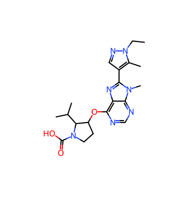 CCn1ncc(-c2nc3c(OC4CCN(C(=O)O)C4C(C)C)ncnc3n2C)c1C